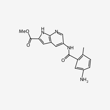 COC(=O)c1cc2cc(NC(=O)c3cc(N)ccc3C)cnc2[nH]1